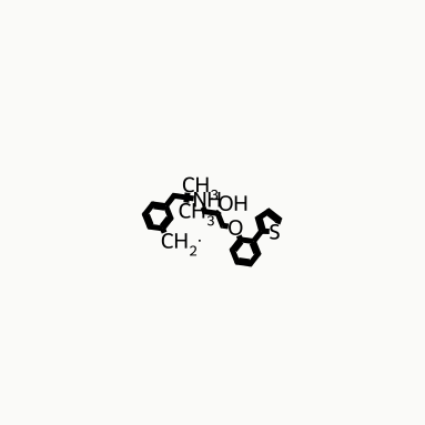 [CH2]c1cccc(CC(C)(C)NCC(O)COc2ccccc2-c2cccs2)c1